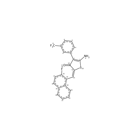 NC1=C(c2cccc(C(F)(F)F)c2)C(=O)/C(=C\c2c(F)ccc3ccccc23)S1